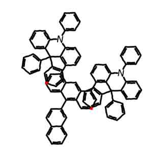 c1ccc(N2c3ccccc3C(c3ccccc3)(c3ccccc3)c3c(-c4cccc5c(-c6ccc7ccccc7c6)c6cccc(-c7cccc8c7C(c7ccccc7)(c7ccccc7)c7ccccc7N8c7ccccc7)c6cc45)cccc32)cc1